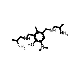 Cc1c(CNCC(C)N)cc(N(C)C)c(O)c1CNCC(C)N